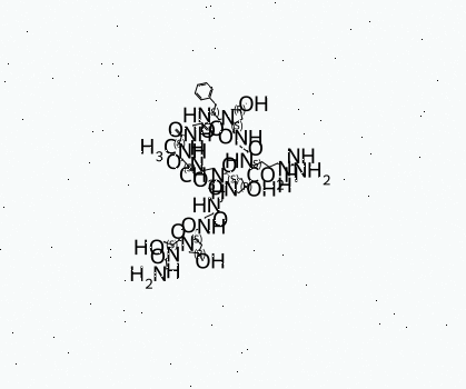 C[C@H](NC(=O)CNC(=O)[C@@H]1C[C@@H](O)CN1C(=O)CNC(=O)CNC(=O)[C@@H]1C[C@@H](O)CN1C(=O)[C@H](CO)NC(=O)CN)C(=O)N[C@@H](C)C(=O)NCC(=O)N[C@@H](Cc1ccccc1)C(=O)N1C[C@H](O)C[C@H]1C(=O)NCC(=O)N[C@@H](CCCNC(=N)N)C(=O)O